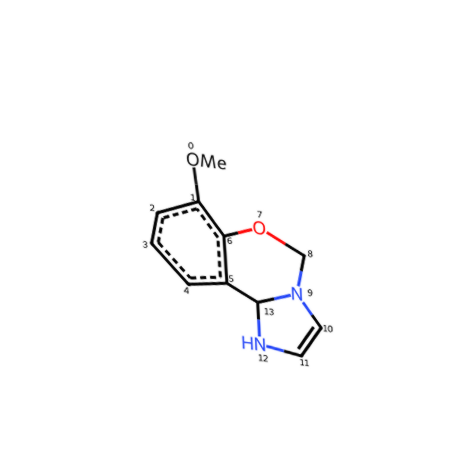 COc1cccc2c1OCN1C=CNC21